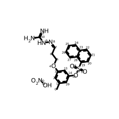 Cc1cc(OCC/C=N\NC(=N)N)cc(OS(=O)(=O)c2cccc3ccccc23)c1.O=[N+]([O-])O